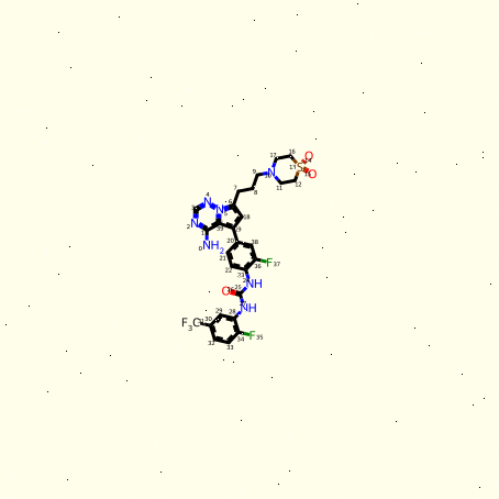 Nc1ncnn2c(CCCN3CCS(=O)(=O)CC3)cc(-c3ccc(NC(=O)Nc4cc(C(F)(F)F)ccc4F)c(F)c3)c12